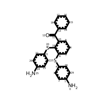 Nc1ccc(Sc2cccc(C(=O)c3ccccc3)c2Sc2ccc(N)cc2)cc1